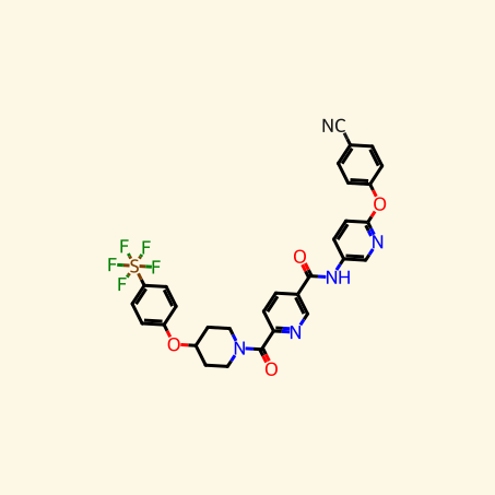 N#Cc1ccc(Oc2ccc(NC(=O)c3ccc(C(=O)N4CCC(Oc5ccc(S(F)(F)(F)(F)F)cc5)CC4)nc3)cn2)cc1